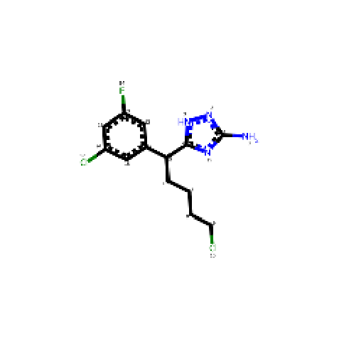 Nc1n[nH]c(C(CCCCCl)c2cc(F)cc(Cl)c2)n1